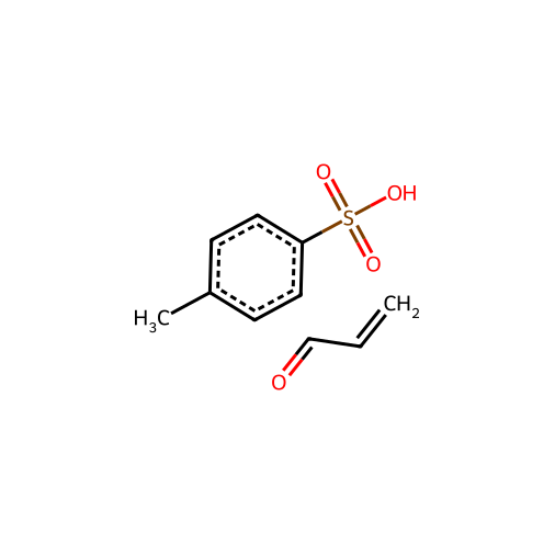 C=CC=O.Cc1ccc(S(=O)(=O)O)cc1